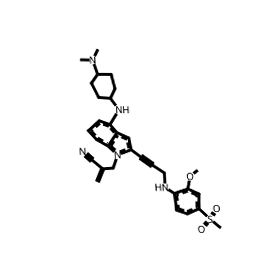 C=C(C#N)Cn1c(C#CCNc2ccc(S(C)(=O)=O)cc2OC)cc2c(NC3CCC(N(C)C)CC3)cccc21